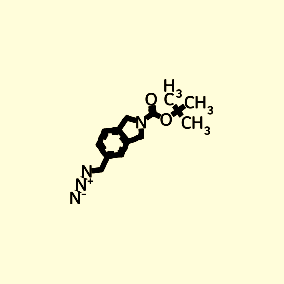 CC(C)(C)OC(=O)N1Cc2ccc(CN=[N+]=[N-])cc2C1